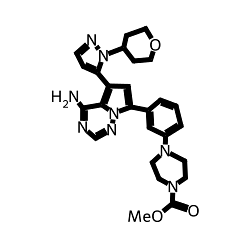 COC(=O)N1CCN(c2cccc(-c3cc(-c4ccnn4C4CCOCC4)c4c(N)ncnn34)c2)CC1